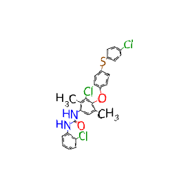 Cc1cc(NC(=O)Nc2ccccc2Cl)c(C)c(Cl)c1Oc1ccc(Sc2ccc(Cl)cc2)cc1